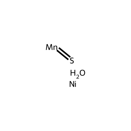 O.[Ni].[S]=[Mn]